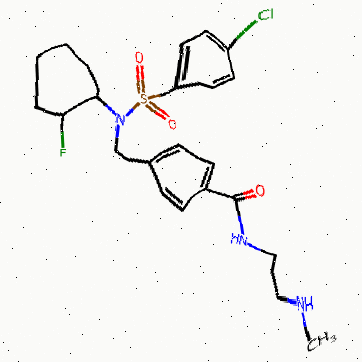 CNCCNC(=O)c1ccc(CN(C2CCCCC2F)S(=O)(=O)c2ccc(Cl)cc2)cc1